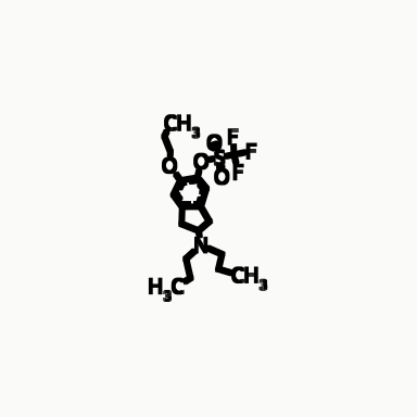 CCCOc1cc2c(cc1OS(=O)(=O)C(F)(F)F)CC(N(CCC)CCC)C2